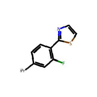 CC(C)c1ccc(-c2nccs2)c(F)c1